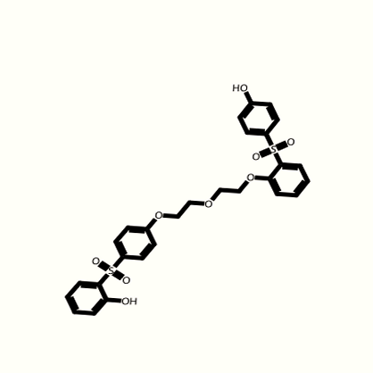 O=S(=O)(c1ccc(OCCOCCOc2ccccc2S(=O)(=O)c2ccc(O)cc2)cc1)c1ccccc1O